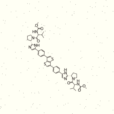 COC(=O)NC(C(=O)N1CCC[C@H]1c1ncc(-c2ccc(-c3csc4c(-c5ccc(-c6cnc([C@@H]7CCCN7C(=O)C(NC(=O)OC)C(C)C)[nH]6)cc5)csc34)cc2)[nH]1)C(C)C